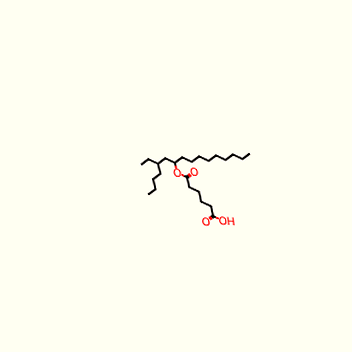 CCCCCCCCCC(CC(CC)CCCC)OC(=O)CCCCC(=O)O